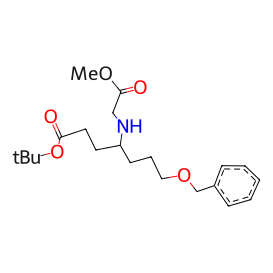 COC(=O)CNC(CCCOCc1ccccc1)CCC(=O)OC(C)(C)C